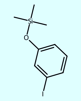 C[Si](C)(C)Oc1cccc(I)c1